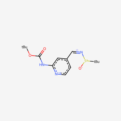 CC(C)(C)OC(=O)Nc1cc(/C=N\[S+]([O-])C(C)(C)C)ccn1